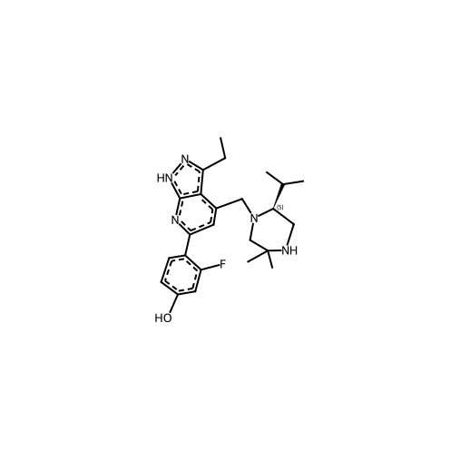 CCc1n[nH]c2nc(-c3ccc(O)cc3F)cc(CN3CC(C)(C)NC[C@@H]3C(C)C)c12